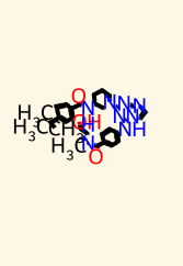 CN(CCO)C(=O)c1ccc(Nc2nc(N3CCCC(NC(=O)c4ccc(C(C)(C)C)cc4)C3)nc3nccn23)cc1